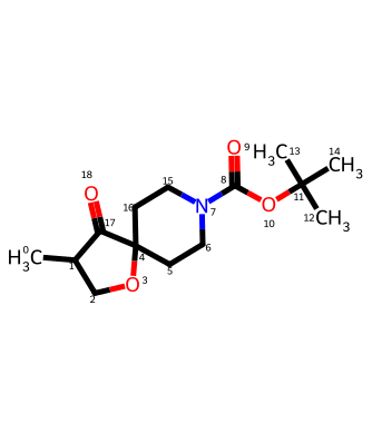 CC1COC2(CCN(C(=O)OC(C)(C)C)CC2)C1=O